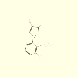 COc1c(Cl)cccc1N1C=C(Cl)C(Cl)S1